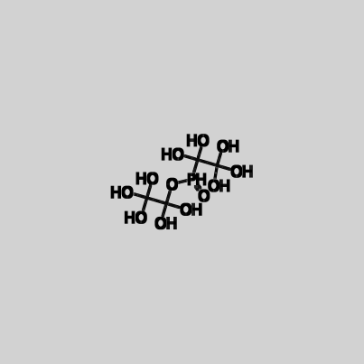 O=[PH](OC(O)(O)C(O)(O)O)C(O)(O)C(O)(O)O